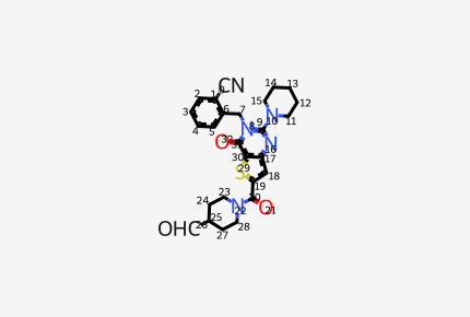 N#Cc1ccccc1Cn1c(N2CCCCC2)nc2cc(C(=O)N3CCC(C=O)CC3)sc2c1=O